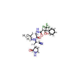 CC(C)C[C@H](NC(=O)C[C@](O)(c1ccccc1)C(F)(F)F)C(=O)N[C@H](C#N)C[C@@H]1CCNC1=O